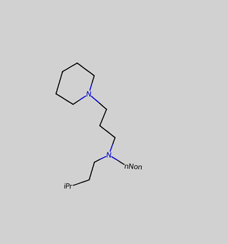 CCCCCCCCCN(CCCN1CCCCC1)CCC(C)C